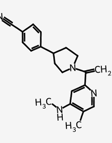 C=C(c1cc(NC)c(C)cn1)N1CCC(c2ccc(C#N)cc2)CC1